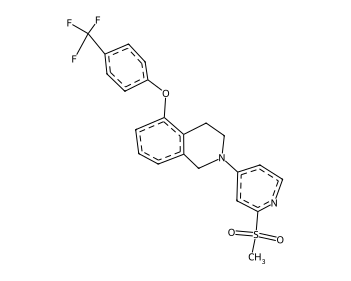 CS(=O)(=O)c1cc(N2CCc3c(cccc3Oc3ccc(C(F)(F)F)cc3)C2)ccn1